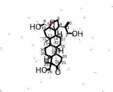 C=C(CO)[C@@H]1CC[C@]2(CO)CC[C@]3(C)[C@H](CC[C@@H]4[C@@]5(C)CCC(=O)C(C)(CO)[C@@H]5CC[C@]43C)[C@@H]12